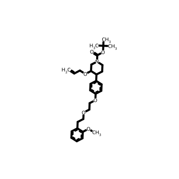 C=CCOC1CN(C(=O)OC(C)(C)C)CCC1c1ccc(OCCOCCc2ccccc2OC)cc1